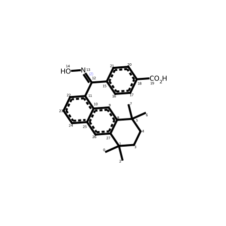 CC1(C)CCC(C)(C)c2cc3c(/C(=N\O)c4ccc(C(=O)O)cc4)cccc3cc21